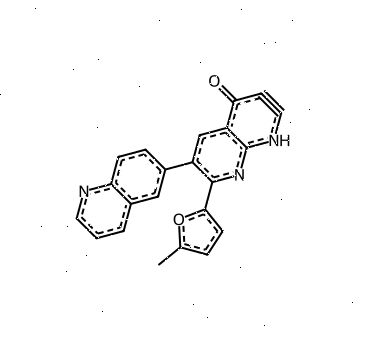 Cc1ccc(-c2nc3[nH]c#cc(=O)c3cc2-c2ccc3ncccc3c2)o1